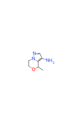 CC1OCCn2ncc(N)c21